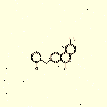 Cc1ccc2oc(=O)c3cc(Nc4ccccc4Cl)ccc3c2c1